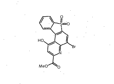 COC(=O)c1cc(O)c2c3c(cc(Br)c2n1)S(=O)(=O)c1ccccc1-3